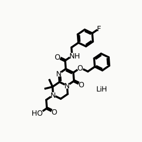 CC1(C)c2nc(C(=O)NCc3ccc(F)cc3)c(OCc3ccccc3)c(=O)n2CCN1CC(=O)O.[LiH]